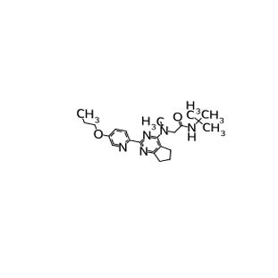 CCCOc1ccc(-c2nc3c(c(N(C)CC(=O)NC(C)(C)C)n2)CCC3)nc1